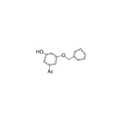 CC(=O)c1cc(O)cc(OCc2ccccc2)c1